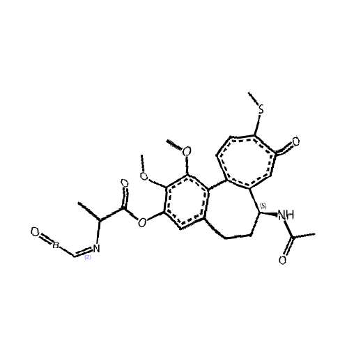 COc1c(OC(=O)C(C)/N=C\B=O)cc2c(c1OC)-c1ccc(SC)c(=O)cc1[C@@H](NC(C)=O)CC2